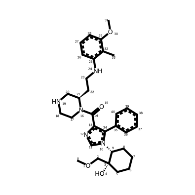 COC[C@]1(O)CCCC[C@H]1n1cnc(C(=O)N2CCNC[C@H]2CCNc2cccc(OC)c2C)c1-c1ccccc1